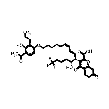 CCCc1c(OCCCCC/C=C\C=C\[C@@H](c2c(C(=O)O)oc3c(c2=O)=CCC(=S)C=3)[C@H](O)CCCC(F)(F)F)ccc(C(C)=O)c1O